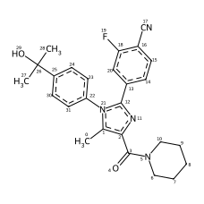 Cc1c(C(=O)N2CCCCC2)nc(-c2ccc(C#N)c(F)c2)n1-c1ccc(C(C)(C)O)cc1